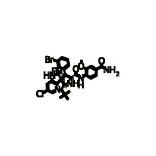 COc1cc(C(N)=O)ccc1NC(=O)[C@@H]1N[C@@H](CC(C)(C)C)[C@@]2(C(=O)Nc3cc(Cl)cnc32)[C@H]1c1cccc(Br)c1F